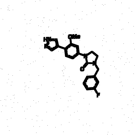 COc1cc(N2CCN(Cc3cccc(F)c3)C2=O)ccc1-c1cn[nH]c1